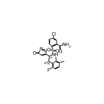 Cc1ccc(F)c([C@@H](C)[C@H](NS(=O)(=O)c2ccc(Cl)cc2C(N)=O)C2=CC(=O)N=N2)c1C